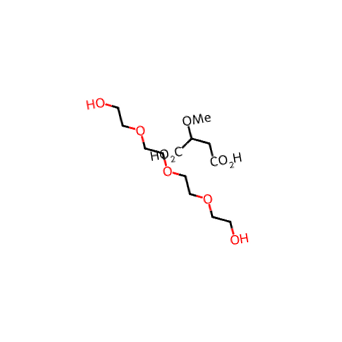 COC(CC(=O)O)C(=O)O.OCCOCCOCCOCCO